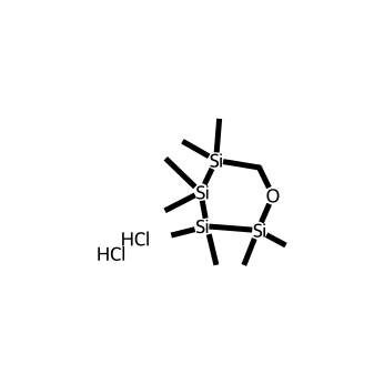 C[Si]1(C)CO[Si](C)(C)[Si](C)(C)[Si]1(C)C.Cl.Cl